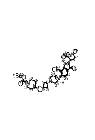 C[C@@H]1CN([C@H]2C[C@H](OC3CCN(C(=O)OC(C)(C)C)CC3)C2)CCN1c1ccc2c(c1Cl)[C@@H](C)N(C1CCC(=O)NC1=O)C2=O